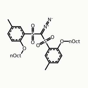 CCCCCCCCOc1ccc(C)cc1S(=O)(=O)C(=[N+]=[N-])S(=O)(=O)c1cc(C)ccc1OCCCCCCCC